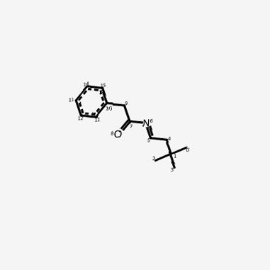 CC(C)(C)C/C=N/C(=O)Cc1ccccc1